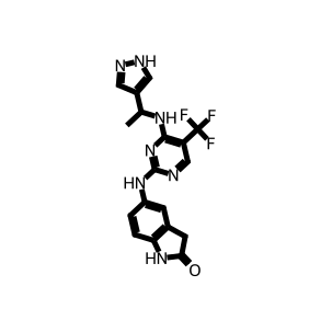 CC(Nc1nc(Nc2ccc3c(c2)CC(=O)N3)ncc1C(F)(F)F)c1cn[nH]c1